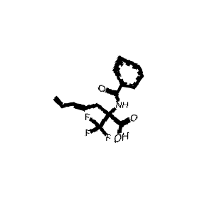 C=CC=CCC(NC(=O)c1ccccc1)(C(=O)O)C(F)(F)F